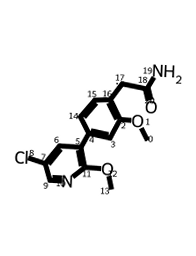 COc1cc(-c2cc(Cl)cnc2OC)ccc1[CH]C(N)=O